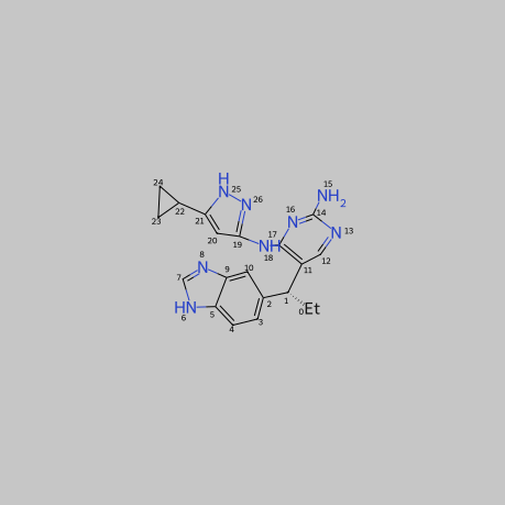 CC[C@H](c1ccc2[nH]cnc2c1)c1cnc(N)nc1Nc1cc(C2CC2)[nH]n1